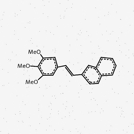 COc1cc(C=Cc2ccc3ccccc3c2)cc(OC)c1OC